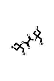 O=C(OC1(CO)CNC1)C(=O)OC1(CO)CNC1